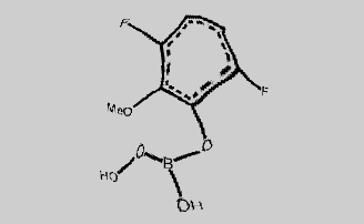 COc1c(F)ccc(F)c1OB(O)OO